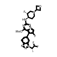 COc1nc(N[C@@H]2CCN(C3COC3)C[C@H]2F)nn2cc(F)c(-c3ccc4nnn([C@@H](C)C(F)F)c4c3)c12